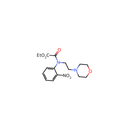 CCOC(=O)C(=O)N(CCN1CCOCC1)c1ccccc1[N+](=O)[O-]